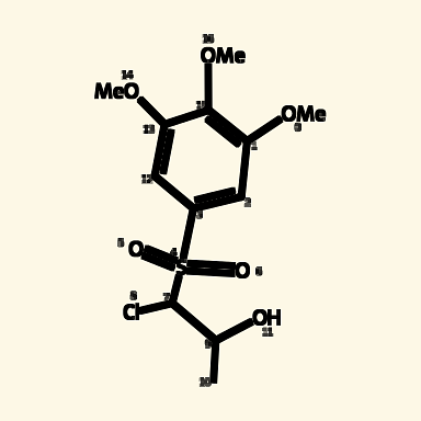 COc1cc(S(=O)(=O)C(Cl)C(C)O)cc(OC)c1OC